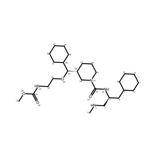 CNC[C@H](CC1CCCCC1)NC(=O)N1CCC[C@@H](C(OCCNC(=O)OC)C2CCCCC2)C1